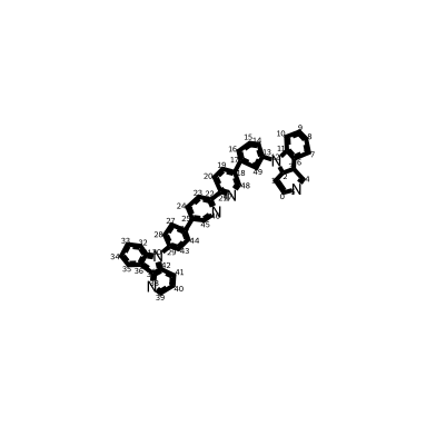 C1=CC2C(C=N1)c1ccccc1N2c1cccc(-c2ccc(-c3ccc(-c4ccc(-n5c6ccccc6c6ncccc65)cc4)cn3)nc2)c1